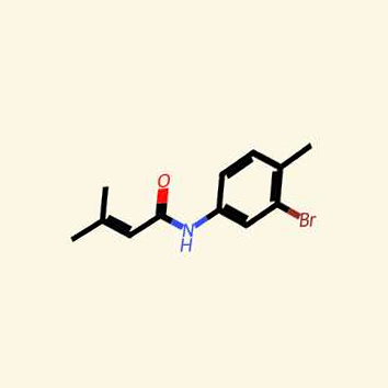 CC(C)=CC(=O)Nc1ccc(C)c(Br)c1